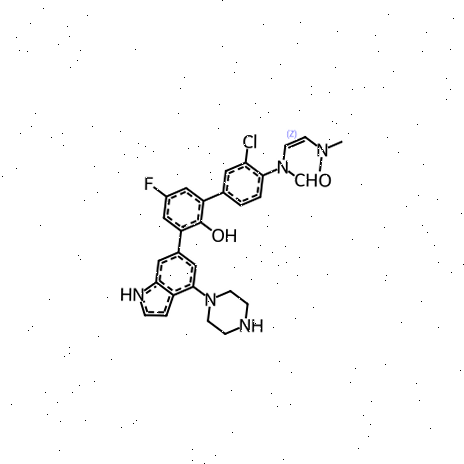 CN(C)/C=C\N(C=O)c1ccc(-c2cc(F)cc(-c3cc(N4CCNCC4)c4cc[nH]c4c3)c2O)cc1Cl